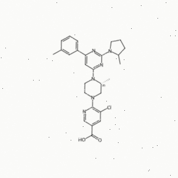 Cc1cccc(-c2cc(N3CCN(c4ncc(C(=O)O)cc4Cl)C[C@H]3C)nc(N3CCCC3C)n2)c1